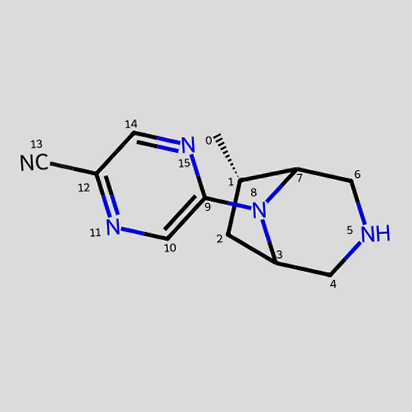 C[C@H]1CC2CNCC1N2c1cnc(C#N)cn1